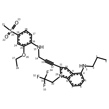 CCCNc1cccc2c1cc(C#CCNc1ccc(S(C)(=O)=O)cc1OCC)n2CC(F)(F)F